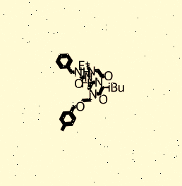 CCC(C)[C@H]1C(=O)N(CCOCc2ccc(C)cc2)C[C@H]2N1C(=O)CN(CC)N2C(=O)NCc1ccccc1